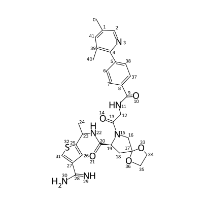 Cc1cnc(-c2ccc(C(=O)NCC(=O)N3CC4(C[C@H]3C(=O)NC(C)c3cc(C(=N)N)cs3)OCCO4)cc2)c(C)c1